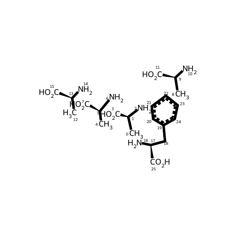 C[C@H](N)C(=O)O.C[C@H](N)C(=O)O.C[C@H](N)C(=O)O.C[C@H](N)C(=O)O.N[C@@H](Cc1ccccc1)C(=O)O